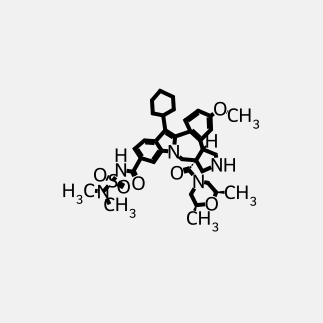 COc1ccc2c(c1)[C@H]1CNC[C@@]1(C(=O)N1C[C@@H](C)O[C@@H](C)C1)Cn1c-2c(C2CCCCC2)c2ccc(C(=O)NS(=O)(=O)N(C)C)cc21